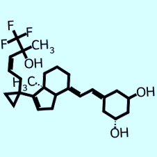 CC(O)(/C=C\CC1(C2=CCC3/C(=C/C=C4/CC(O)C[C@H](O)C4)CCC[C@]23C)CC1)C(F)(F)F